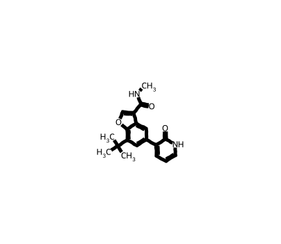 CNC(=O)c1coc2c(C(C)(C)C)cc(-c3ccc[nH]c3=O)cc12